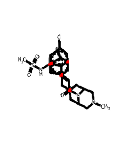 CN1CC2CN(Cc3ccc(F)cc3)CC(C1)N2C(=O)C=Cc1ccc(Cl)cc1NS(C)(=O)=O